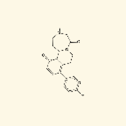 O=C1CNCCC2C3C(=C(c4ccc(F)nc4)C=C[N+]3=O)CCN12